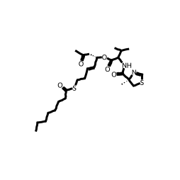 CCCCCCCC(=O)SCC/C=C/[C@H](CC(C)=O)OC(=O)C(NC(=O)[C@]1(C)CSC=N1)C(C)C